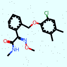 CNC(=O)/C(=N\OC)c1ccccc1COc1cc(C)c(C)cc1Cl